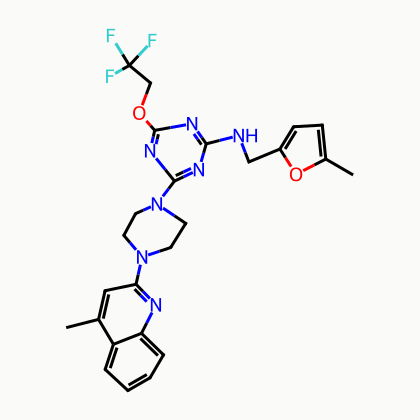 Cc1ccc(CNc2nc(OCC(F)(F)F)nc(N3CCN(c4cc(C)c5ccccc5n4)CC3)n2)o1